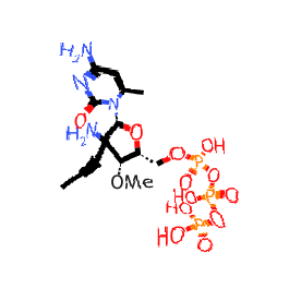 CC#CC1(N)[C@@H](OC)[C@@H](COP(=O)(O)OP(=O)(O)OP(=O)(O)O)O[C@H]1n1c(C)cc(N)nc1=O